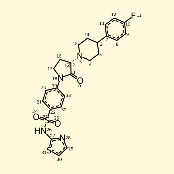 O=C1[C@@H](N2CCC(c3ccc(F)cc3)CC2)CCN1c1ccc(S(=O)(=O)Nc2nccs2)cc1